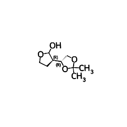 CC1(C)OC[C@@H]([C@H]2CCOC2O)O1